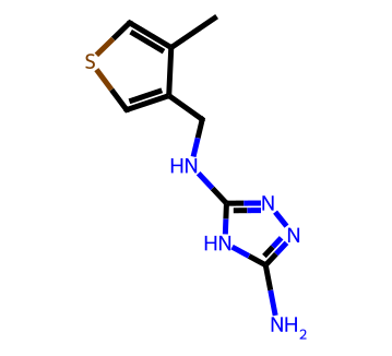 Cc1cscc1CNc1nnc(N)[nH]1